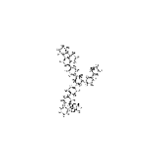 CC1(C)c2ccccc2-c2ccc(-c3ccc(-c4cc(-c5cccc(-c6cccnc6)c5)nc(-c5ccc(-c6ccc7c8c(cccc68)-c6ccccc6-7)cc5)n4)cc3)cc21